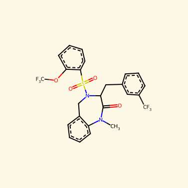 CN1C(=O)C(Cc2cccc(C(F)(F)F)c2)N(S(=O)(=O)c2ccccc2OC(F)(F)F)Cc2ccccc21